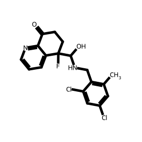 Cc1cc(Cl)cc(Cl)c1CNC(O)C1(F)CCC(=O)c2ncccc21